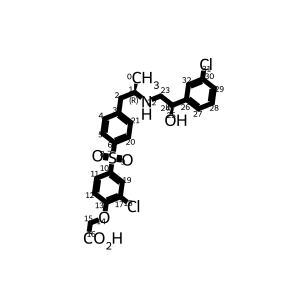 C[C@H](Cc1ccc(S(=O)(=O)c2ccc(OCC(=O)O)c(Cl)c2)cc1)NC[C@H](O)c1cccc(Cl)c1